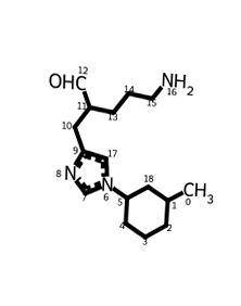 CC1CCCC(n2cnc(CC(C=O)CCCN)c2)C1